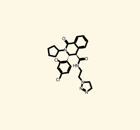 O=C(NCCN1CCN=N1)[C@@H]1c2ccccc2C(=O)N(C2CCCC2)[C@H]1c1ccc(Cl)cc1Cl